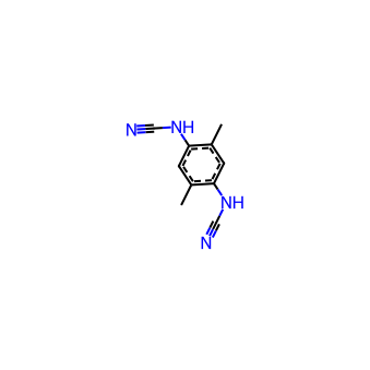 Cc1cc(NC#N)c(C)cc1NC#N